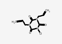 C=CCn1c(=O)n(Cl)c(=O)n(CC=C)c1=O